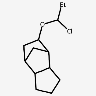 CCC(Cl)OC1CC2CC1C1CCCC21